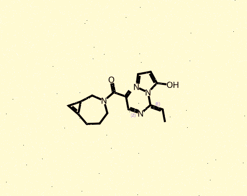 C=C(/C=N\C(=C/C)n1nccc1O)C(=O)N1CCCC2=CC2C1